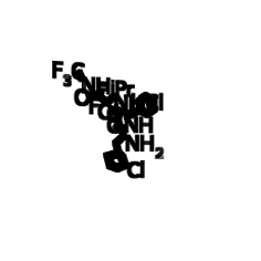 CC(C)[C@H](NC(=O)[C@@H](NC(=O)[C@@H](N)Cc1cccc(Cl)c1)c1ccccc1)C(O)C(F)(F)C(=O)NCC(F)(F)F.Cl